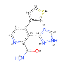 NC(=O)c1nccc(-c2ccsc2)c1-c1nc[nH]n1